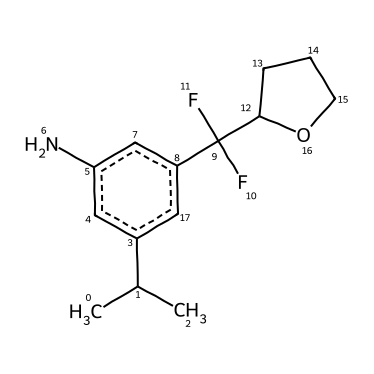 CC(C)c1cc(N)cc(C(F)(F)C2CCCO2)c1